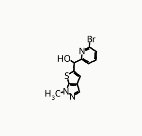 Cn1ncc2cc(C(O)c3cccc(Br)n3)sc21